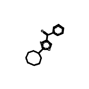 O=C(c1ccccc1)c1coc(C2CCCCCCC2)n1